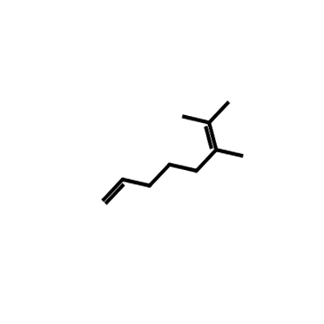 C=CCCCC(C)=C(C)C